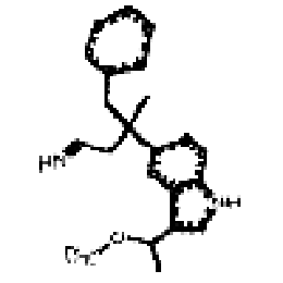 CC(OC=O)c1c[nH]c2ccc(C(C)(CC=N)Cc3ccccc3)cc12